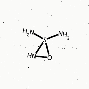 NS1(N)NO1